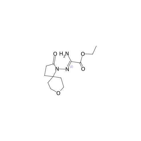 CCOC(=O)/C(N)=N/N1C(=O)CCC12CCOCC2